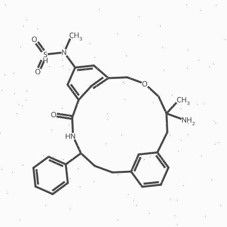 CN(c1cc2cc(c1)C(=O)NC(c1ccccc1)CCc1cccc(c1)CC(C)(N)COC2)[SH](=O)=O